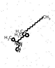 CCCCCCCCCCCCCCCCN1C(C)=C(C)\C(=C/C=C/C=c2/c(-c3ccc(C)cc3)nn3c(-c4cccnn4)nnc23)c2ccccc21